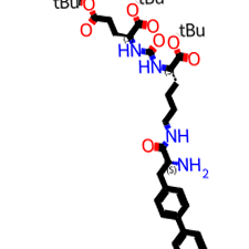 CC(C)(C)OC(=O)CC[C@H](NC(=O)N[C@@H](CCCCNC(=O)[C@@H](N)Cc1ccc(-c2ccccc2)cc1)C(=O)OC(C)(C)C)C(=O)OC(C)(C)C